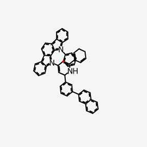 C1=CC(C2=CC(n3c4ccccc4c4ccc5c6ccccc6n(-c6ccccc6)c5c43)=CC(c3cccc(-c4ccc5ccccc5c4)c3)N2)=CCC1